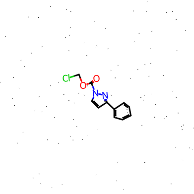 O=C(OCCl)n1ccc(-c2ccccc2)n1